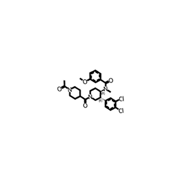 COc1cccc(C(=O)N(C)[C@@H]2CCN(C(=O)C3CCN(C(C)=O)CC3)C[C@H]2c2ccc(Cl)c(Cl)c2)c1